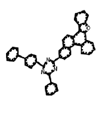 c1ccc(-c2ccc(-c3nc(-c4ccccc4)nc(-c4ccc5c(ccc6c5c5ccccc5c5oc7ccccc7c65)c4)n3)cc2)cc1